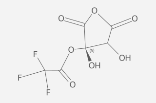 O=C1OC(=O)[C@@](O)(OC(=O)C(F)(F)F)C1O